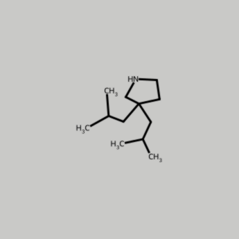 CC(C)CC1(CC(C)C)CCNC1